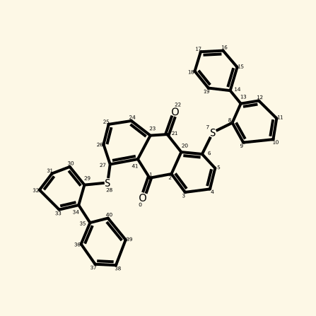 O=C1c2cccc(Sc3ccccc3-c3ccccc3)c2C(=O)c2cccc(Sc3ccccc3-c3ccccc3)c21